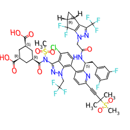 CC(C)(C#Cc1ccc(-c2ccc(Cl)c3c(N(C(=O)[C@@H]4C[C@H](C(=O)O)C[C@H](C(=O)O)C4)S(C)(=O)=O)nn(CC(F)(F)F)c23)c([C@H](Cc2cc(F)cc(F)c2)NC(=O)Cn2nc(C(F)(F)F)c3c2C(F)(F)[C@@H]2C[C@H]32)n1)S(C)(=O)=O